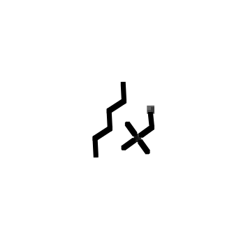 CCCCCC.[Li][CH2][Si](C)(C)C